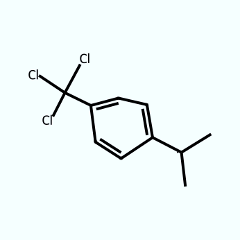 C[C](C)c1ccc(C(Cl)(Cl)Cl)cc1